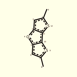 Cc1cc2oc3cc(C)sc3c2s1